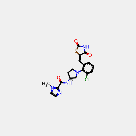 Cn1ccnc1C(=O)N[C@H]1CCN(c2c(Cl)cccc2C=C2SC(=O)NC2=O)C1